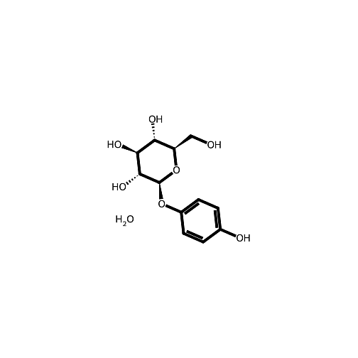 O.OC[C@H]1O[C@@H](Oc2ccc(O)cc2)[C@H](O)[C@@H](O)[C@@H]1O